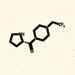 O=C([C@@H]1CCCN1)N1CCN(CC(F)(F)F)CC1